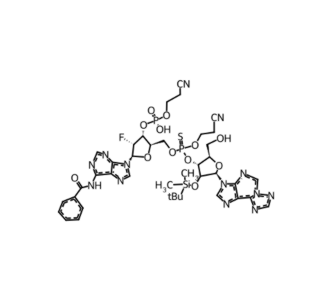 CC(C)(C)[Si](C)(C)OC1[C@H](n2cnc3c2ncn2ncnc32)O[C@H](CO)[C@H]1OP(=S)(OCCC#N)OC[C@H]1O[C@@H](n2cnc3c(NC(=O)c4ccccc4)ncnc32)[C@H](F)[C@@H]1OP(=O)(O)OCCC#N